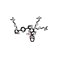 C[Si](C)(C)CCOCN(COCC[Si](C)(C)C)c1c(F)c(C2CC3CCC(C2)N3C(=O)O)nc2c(-c3ccc(-c4nccn4COCC[Si](C)(C)C)nc3)cnn12